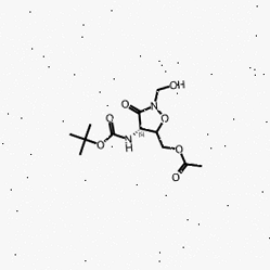 CC(=O)OCC1ON(CO)C(=O)[C@H]1NC(=O)OC(C)(C)C